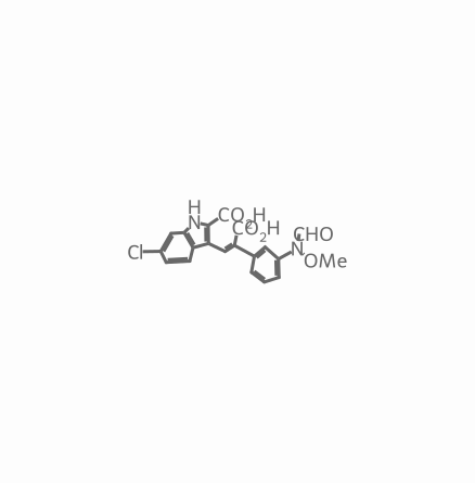 CON(C=O)c1cccc(C(=Cc2c(C(=O)O)[nH]c3cc(Cl)ccc23)C(=O)O)c1